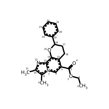 CCOC(=O)c1cn2c(C)c(C)nc2c2c1CCC(c1ccccc1)O2